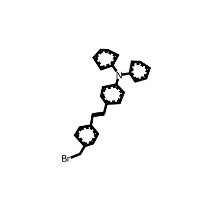 BrCc1ccc(C=Cc2ccc(N(c3ccccc3)c3ccccc3)cc2)cc1